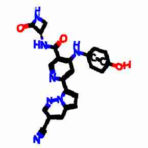 N#Cc1cnn2c(-c3cc(NC45CCC(O)(CC4)CC5)c(C(=O)N[C@H]4CNC4=O)cn3)ccc2c1